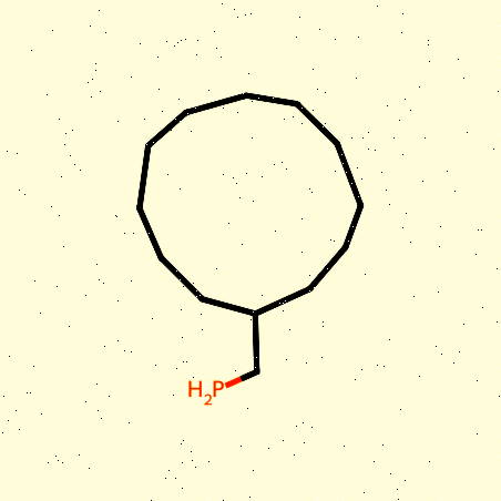 PCC1CCCCCCCCCCC1